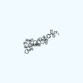 CC[C@H](C)[C@@H]([C@@H](CC(=O)N1CCC[C@H]1[C@H](OC)[C@@H](C)C(=O)NS(=O)(=O)c1ccc(NC(=O)C(F)(F)F)cc1)OC)N(C)C(=O)[C@@H](NC(=O)[C@H]1CCCCN1C(C)C)C(C)C